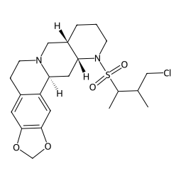 CC(CCl)C(C)S(=O)(=O)N1CCC[C@H]2CN3CCc4cc5c(cc4[C@@H]3C[C@H]21)OCO5